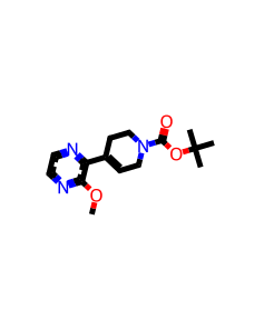 COc1nccnc1C1=CCN(C(=O)OC(C)(C)C)CC1